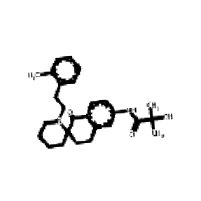 Cc1ccccc1CCN1CCCCC12CCc1cc(NC(=O)C(C)(C)O)ccc1C2=O